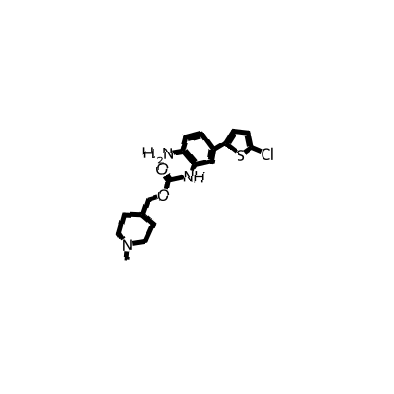 CN1CCC(COC(=O)Nc2cc(-c3ccc(Cl)s3)ccc2N)CC1